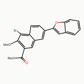 COC(=O)c1cc2cc(-c3cc4ccccc4o3)ccc2c(Br)c1OC